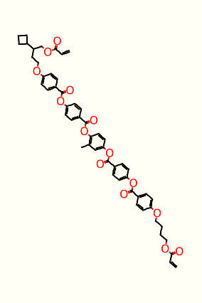 C=CC(=O)OCCCCOc1ccc(C(=O)Oc2ccc(C(=O)Oc3ccc(OC(=O)c4ccc(OC(=O)c5ccc(OCCC(COC(=O)C=C)C6CCC6)cc5)cc4)c(C)c3)cc2)cc1